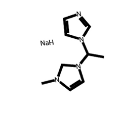 CC(N1C=CN(C)C1)n1ccnc1.[NaH]